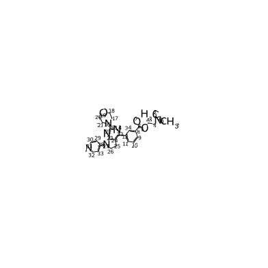 CN(C)CCOC(=O)c1cccc(-c2nc(N3CCOCC3)nc3c2CCN3c2ccncc2)c1